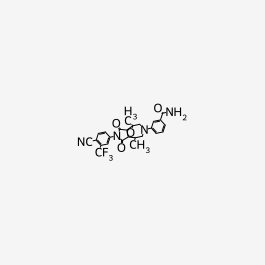 CC12CN(c3cccc(C(N)=O)c3)CC(C)(O1)C1C(=O)N(c3ccc(C#N)c(C(F)(F)F)c3)C(=O)C12